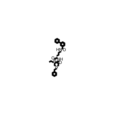 CCCN1C(=O)[C@H](CCCCNC(=O)c2cccc(-c3ccccc3)c2)NC(=O)C12CCN(CCc1ccccc1)CC2